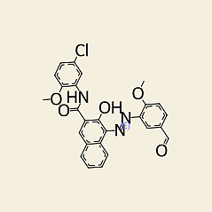 COc1ccc(C=O)cc1/N=N/c1c(O)c(C(=O)Nc2cc(Cl)ccc2OC)cc2ccccc12